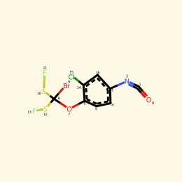 O=C=Nc1ccc(OC(Br)(SF)SF)c(Cl)c1